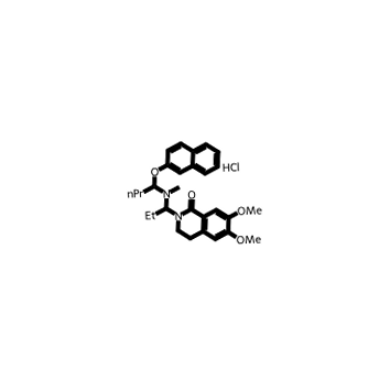 CCCC(Oc1ccc2ccccc2c1)N(C)C(CC)N1CCc2cc(OC)c(OC)cc2C1=O.Cl